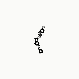 O=S(=O)(OC[C@H]1COc2ccc(OCc3ccccc3)cc2O1)c1ccc(Br)cc1